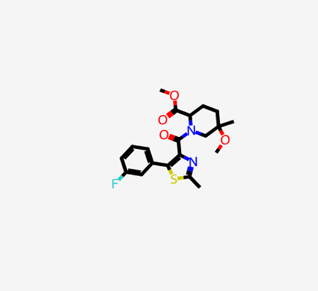 COC(=O)C1CCC(C)(OC)CN1C(=O)c1nc(C)sc1-c1cccc(F)c1